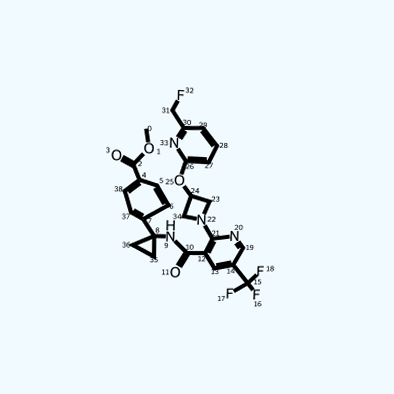 COC(=O)c1ccc(C2(NC(=O)c3cc(C(F)(F)F)cnc3N3CC(Oc4cccc(CF)n4)C3)CC2)cc1